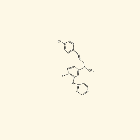 CC(CC=Cc1ccc(Cl)cc1)c1ccc(F)c(Oc2ccccc2)c1